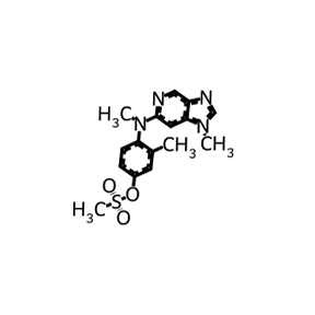 Cc1cc(OS(C)(=O)=O)ccc1N(C)c1cc2c(cn1)ncn2C